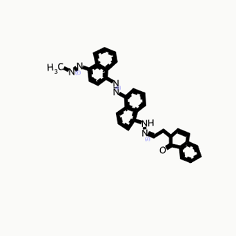 C/N=N/c1ccc(/N=N/c2cccc3c(N/N=C\CC4C=Cc5ccccc5C4=O)cccc23)c2ccccc12